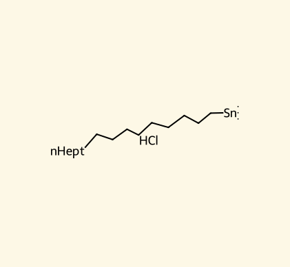 CCCCCCCCCCCCCCC[CH2][Sn].Cl